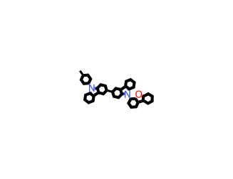 Cc1ccc(-n2c3ccccc3c3cc(-c4ccc5c(c4)c4ccccc4n5-c4cccc5c4oc4ccccc45)ccc32)cc1